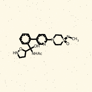 CN=S1(=O)CCN(c2ccc(-c3ccccc3C(O)(NC(C)=O)C3CCNO3)cn2)CC1